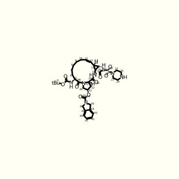 CC(C)(C)OC(=O)N[C@H]1CCCCC/C=C\[C@@H]2C[C@@]2(C(=O)NS(=O)(=O)N2CCNCC2)NC(=O)[C@@H]2C[C@@H](OC(=O)N3Cc4ccccc4C3)CN2C1=O